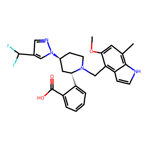 COc1cc(C)c2[nH]ccc2c1CN1CC[C@H](n2cc(C(F)F)cn2)C[C@H]1c1ccccc1C(=O)O